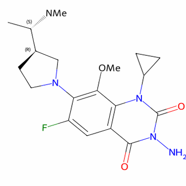 CN[C@@H](C)[C@@H]1CCN(c2c(F)cc3c(=O)n(N)c(=O)n(C4CC4)c3c2OC)C1